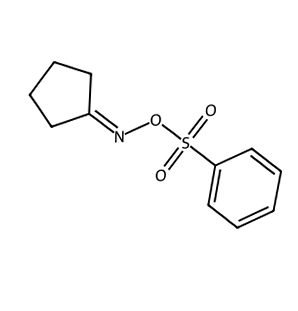 O=S(=O)(ON=C1CCCC1)c1ccccc1